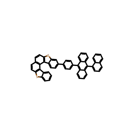 c1ccc2c(-c3c4ccccc4c(-c4ccc(-c5ccc6c(c5)sc5ccc7ccc8sc9ccccc9c8c7c56)cc4)c4ccccc34)cccc2c1